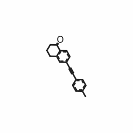 Cc1ccc(C#Cc2ccc3c(c2)CCCC3=O)cc1